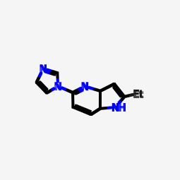 CCC1=CC2N=C(n3ccnc3)C=CC2N1